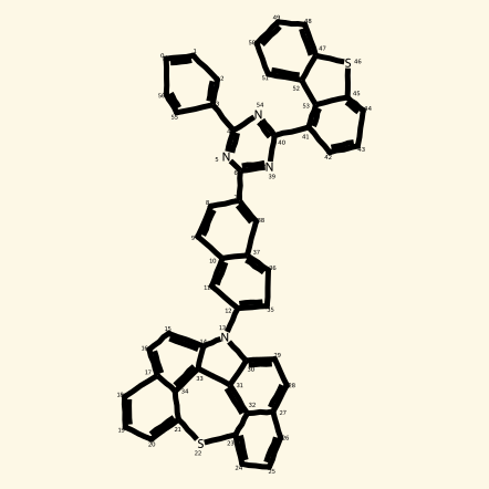 c1ccc(-c2nc(-c3ccc4cc(-n5c6ccc7cccc8sc9cccc%10ccc5c(c%109)c6c78)ccc4c3)nc(-c3cccc4sc5ccccc5c34)n2)cc1